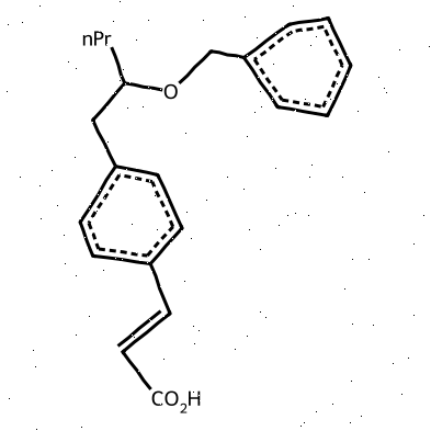 CCCC(Cc1ccc(/C=C/C(=O)O)cc1)OCc1ccccc1